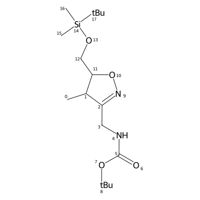 CC1C(CNC(=O)OC(C)(C)C)=NOC1CO[Si](C)(C)C(C)(C)C